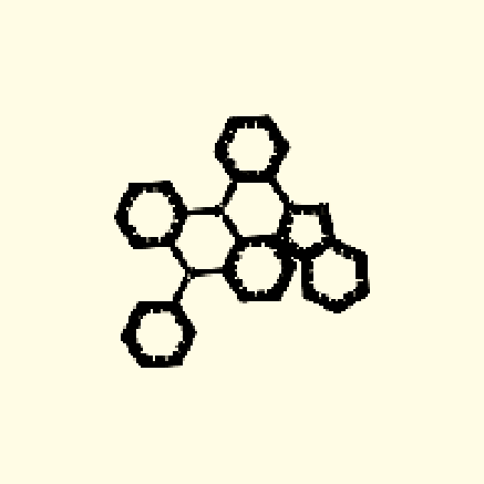 c1ccc(N2c3ccccc3N(c3ccccc3-n3nc4ccccc4n3)c3ccccc32)cc1